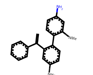 C=C(c1ccccc1)c1cc(NC)ccc1-c1ccc(N)cc1NC